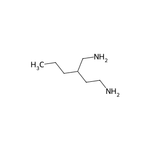 CCCC(CN)CCN